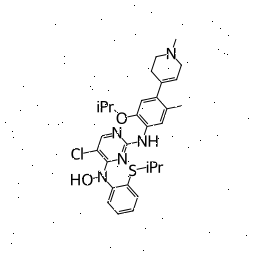 Cc1cc(Nc2ncc(Cl)c(N(O)c3ccccc3SC(C)C)n2)c(OC(C)C)cc1C1=CCN(C)CC1